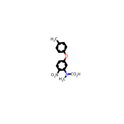 Cc1ccc(Oc2ccc([N+](=O)[O-])c(N(C)C(=O)O)c2)cc1